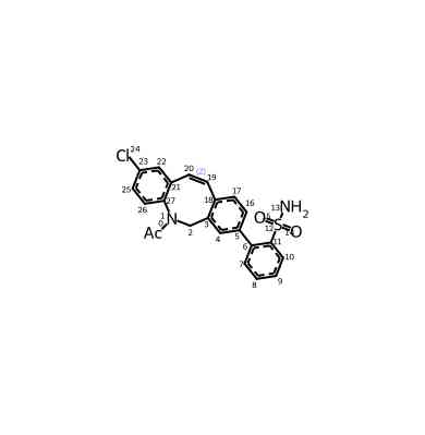 CC(=O)N1Cc2cc(-c3ccccc3S(N)(=O)=O)ccc2/C=C\c2cc(Cl)ccc21